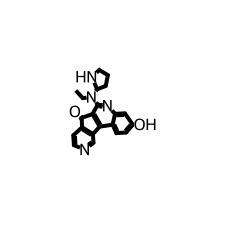 CCN(c1nc2cc(O)ccc2c2c1C(=O)c1ccncc1-2)C1CCCN1